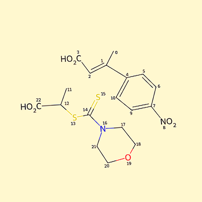 CC(=CC(=O)O)c1ccc([N+](=O)[O-])cc1.CC(SC(=S)N1CCOCC1)C(=O)O